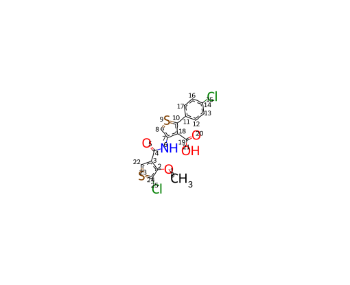 COc1c(C(=O)Nc2csc(-c3ccc(Cl)cc3)c2C(=O)O)csc1Cl